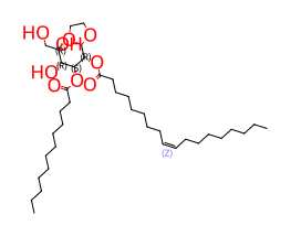 CCCCCCCC/C=C\CCCCCCCC(=O)O[C@@H](C1OCCO1)[C@@H](OC(=O)CCCCCCCCCCC)[C@H](O)[C@H](O)CO